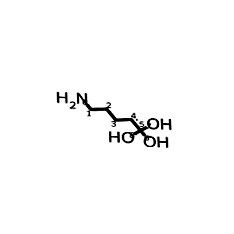 NCCC[CH]C(O)(O)O